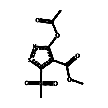 COC(=O)c1c(OC(C)=O)nsc1S(C)(=O)=O